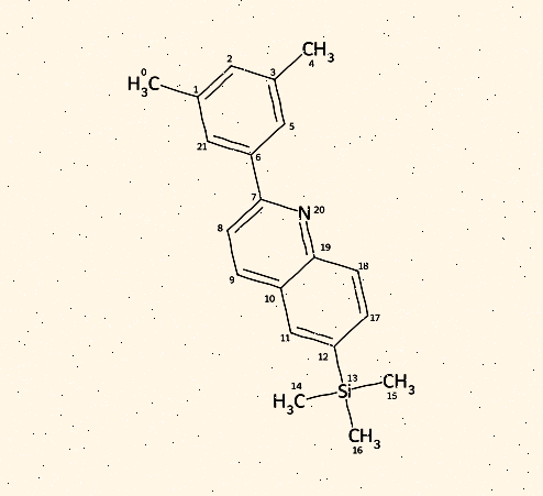 Cc1cc(C)cc(-c2ccc3cc([Si](C)(C)C)ccc3n2)c1